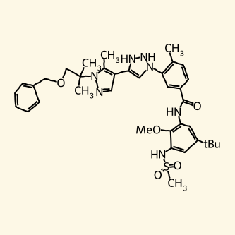 COc1c(NC(=O)c2ccc(C)c(N3C=C(c4cnn(C(C)(C)COCc5ccccc5)c4C)NN3)c2)cc(C(C)(C)C)cc1NS(C)(=O)=O